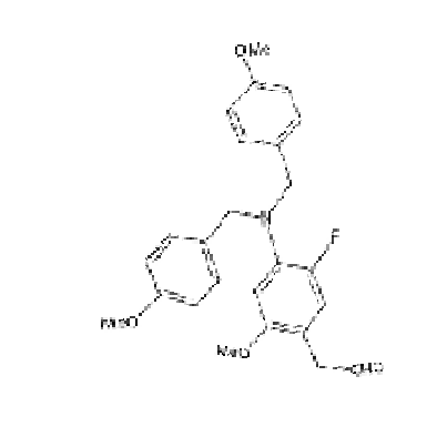 COc1ccc(CN(Cc2ccc(OC)cc2)c2cc(OC)c(CC=O)cc2F)cc1